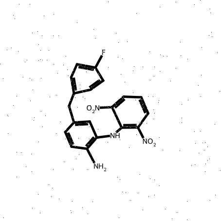 Nc1ccc(Cc2ccc(F)cc2)cc1Nc1c([N+](=O)[O-])cccc1[N+](=O)[O-]